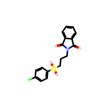 O=C1c2ccccc2C(=O)N1CCCS(=O)(=O)c1ccc(Cl)cc1